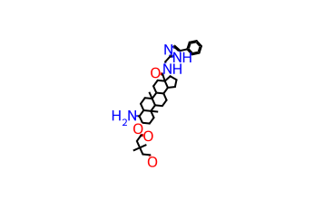 CC(C)(CC=O)CC(=O)OC1CCC2(C)C(CCC3(C)C4CCC5(C(=O)NCc6ncc(-c7ccccc7)[nH]6)CCCC5C4CCC23)C1N